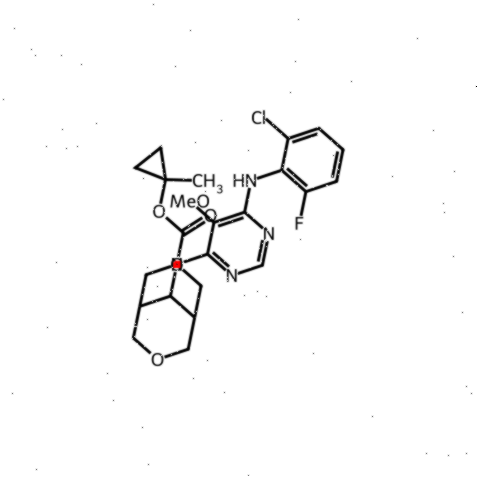 COc1c(Nc2c(F)cccc2Cl)ncnc1OC1C2COCC1CN(C(=O)OC1(C)CC1)C2